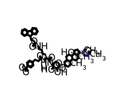 C/C=C(\C=C/C(C)=O)[C@H]1CC[C@]2(O)C3CCC4=C[C@@H](O[C@H]5OC[C@H](NC(=O)[C@H](CCCCNC(=O)OCC6c7ccccc7-c7ccccc76)NC(=O)CCc6ccc([N+](=O)[O-])cc6)C(O)C5O)CC[C@]4(C)C3CC[C@]12C